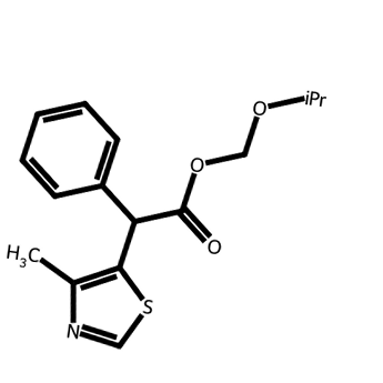 Cc1ncsc1C(C(=O)OCOC(C)C)c1ccccc1